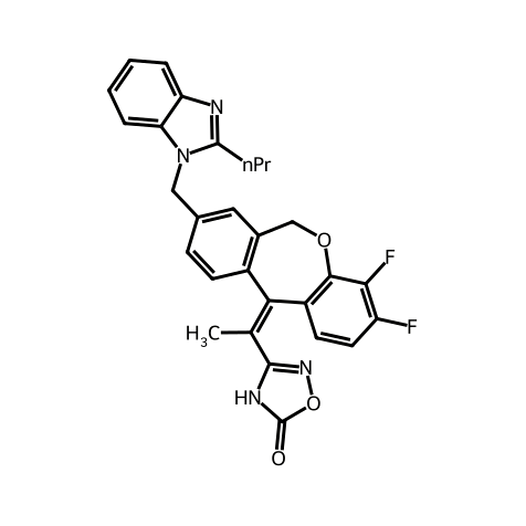 CCCc1nc2ccccc2n1Cc1ccc2c(c1)COc1c(ccc(F)c1F)C2=C(C)c1noc(=O)[nH]1